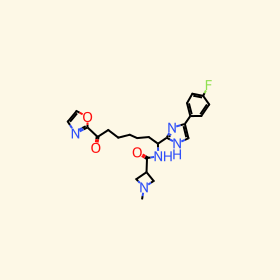 CN1CC(C(=O)NC(CCCCCC(=O)c2ncco2)c2nc(-c3ccc(F)cc3)c[nH]2)C1